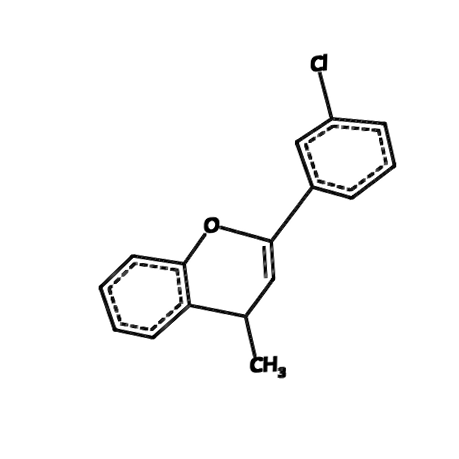 CC1C=C(c2cccc(Cl)c2)Oc2ccccc21